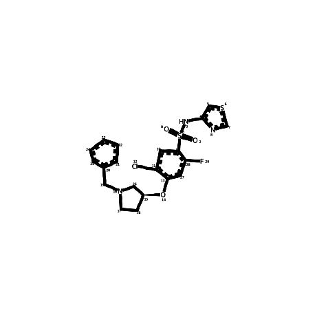 O=S(=O)(Nc1cscn1)c1cc(Cl)c(O[C@H]2CCN(Cc3ccccc3)C2)cc1F